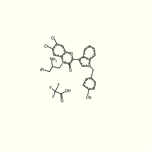 CC(C)CC(N)Cn1c(=O)c(-c2cn(Cc3ccc(C#N)cc3)c3ccccc23)nc2cc(Cl)c(Cl)cc21.O=C(O)C(F)(F)F